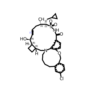 C[C@H]1C/C=C/[C@H](O)[C@@H]2CC[C@H]2CN2CCCCc3cc(Cl)ccc3COc3ccc(cc32)C(=O)NS(=O)(=O)[C@H]1CC1CC1